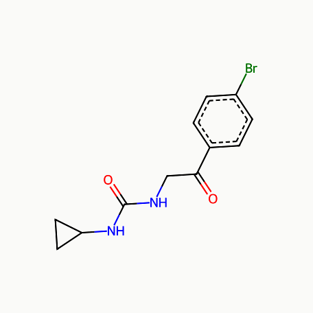 O=C(NCC(=O)c1ccc(Br)cc1)NC1CC1